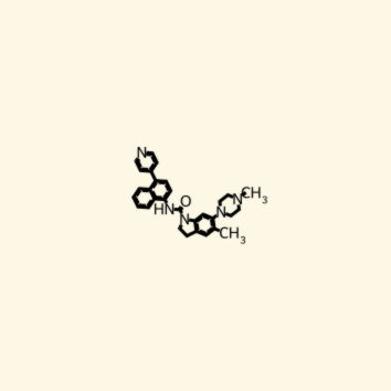 Cc1cc2c(cc1N1CCN(C)CC1)N(C(=O)Nc1ccc(-c3ccncc3)c3ccccc13)CC2